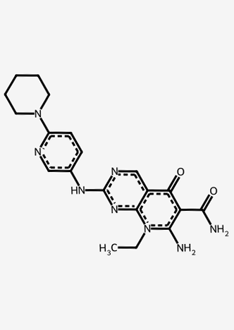 CCn1c(N)c(C(N)=O)c(=O)c2cnc(Nc3ccc(N4CCCCC4)nc3)nc21